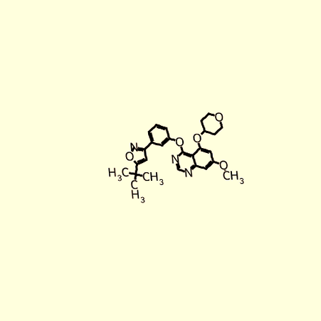 COc1cc(OC2CCOCC2)c2c(Oc3cccc(-c4cc(C(C)(C)C)on4)c3)ncnc2c1